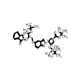 CC(C)(C)OC(=O)[C@H](COc1ccc2nn([C@@H]3CN(C(=O)OC(C)(C)C)C[C@@H]3O[Si](C)(C)C(C)(C)C)cc2c1)ON1C(=O)c2ccccc2C1=O